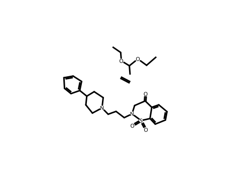 C=C.CCOC(C)OCC.O=C1CN(CCCN2CCC(c3ccccc3)CC2)S(=O)(=O)c2ccccc21